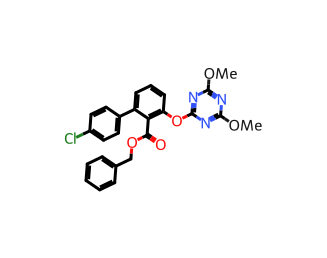 COc1nc(OC)nc(Oc2cccc(-c3ccc(Cl)cc3)c2C(=O)OCc2ccccc2)n1